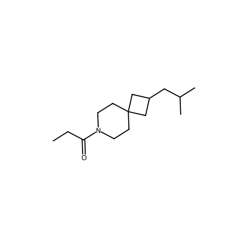 CCC(=O)N1CCC2(CC1)CC(CC(C)C)C2